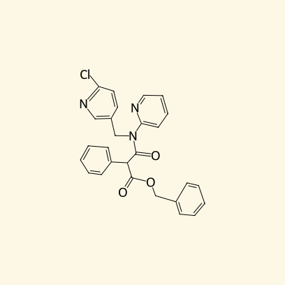 O=C(OCc1ccccc1)C(C(=O)N(Cc1ccc(Cl)nc1)c1ccccn1)c1ccccc1